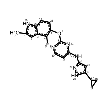 Cc1cc2c(F)c(Oc3nccc(Nc4cc(C5CC5)[nH]n4)n3)ccc2[nH]1